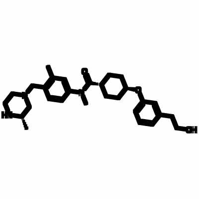 Cc1cc(N(C)C(=O)[C@H]2CC[C@H](Oc3cccc(CCO)c3)CC2)ccc1CN1CCN[C@@H](C)C1